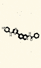 O=C(Nc1cc2cc(-c3cncc(NC4CCNCC4)n3)ccc2cn1)C1CCCCC1